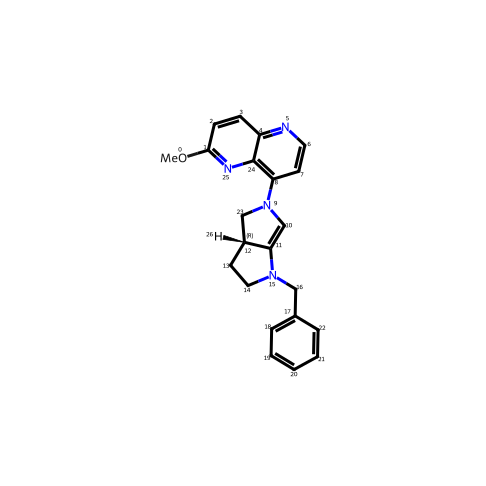 COc1ccc2nccc(N3C=C4[C@H](CCN4Cc4ccccc4)C3)c2n1